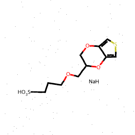 O=S(=O)(O)CCCOCC1COc2cscc2O1.[NaH]